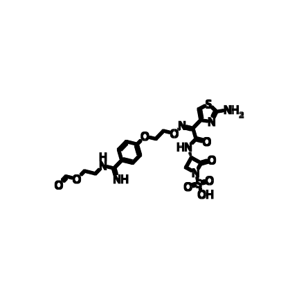 N=C(NCCOC=O)c1ccc(OCCO/N=C(\C(=O)N[C@H]2CN(S(=O)(=O)O)C2=O)c2csc(N)n2)cc1